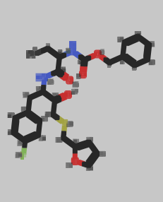 CC(C)CC(NC(=O)OCc1ccccc1)C(=O)NC(Cc1ccc(F)cc1)C(=O)CSCc1ccco1